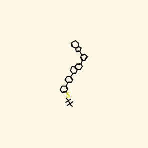 CC(C)(C)C(C)(C)CSC1=CCCC(C2=CC=C(C3=CC4=C(C=C(c5cccc(C6=CC7=C(CCC=C7)C6)c5)CC4)CC3)CC2)=C1